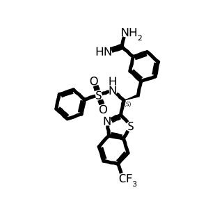 N=C(N)c1cccc(C[C@H](NS(=O)(=O)c2ccccc2)c2nc3ccc(C(F)(F)F)cc3s2)c1